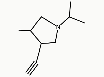 C#CC1CN(C(C)C)CC1C